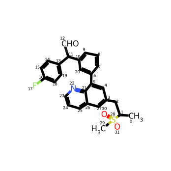 CC(Cc1cc(-c2cccc(C(C=O)c3ccc(F)cc3)c2)c2ncccc2c1)S(C)(=O)=O